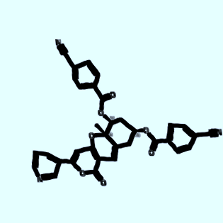 C[C@]12Oc3cc(-c4cccnc4)oc(=O)c3C=C1C[C@H](OC(=O)c1ccc(C#N)cc1)C[C@@H]2OC(=O)c1ccc(C#N)cc1